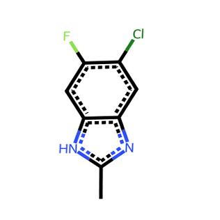 Cc1nc2cc(Cl)c(F)cc2[nH]1